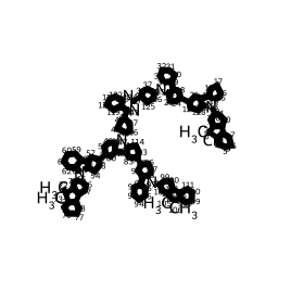 CC1(C)c2ccccc2-c2ccc(-n3c4ccccc4c4cc(-c5ccc6c(c5)c5ccccc5n6-c5ccc(-c6nc(-c7ccc(-n8c9ccc(-c%10ccc%11c(c%10)c%10ccccc%10n%11-c%10ccc%11c(c%10)C(C)(C)c%10ccccc%10-%11)cc9c9cc(-c%10ccc%11c(c%10)c%10ccccc%10n%11-c%10ccc%11c(c%10)C(C)(C)c%10ccccc%10-%11)ccc98)cc7)c7ccccc7n6)cc5)ccc43)cc21